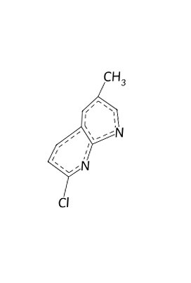 Cc1cnc2nc(Cl)ccc2c1